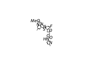 COc1cnc2c(-c3nc4cc(F)c5c(c4s3)CC(COC(=O)Nc3ccc(C)nc3)O5)cc(C)cc2n1